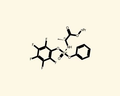 CCCOC(=O)[C@@H](C)N[P@@](=O)(Oc1ccccc1)Oc1c(F)c(F)c(F)c(F)c1F